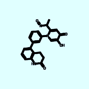 CC(N=O)c1cc(=O)c(O)cn1-c1cccc(-c2cccc3c2CCC(=O)N3)c1